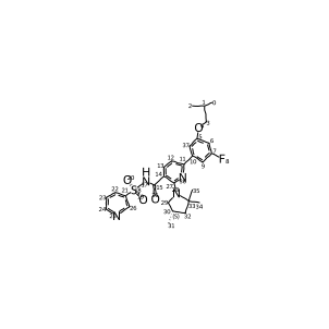 CC(C)COc1cc(F)cc(-c2ccc(C(=O)NS(=O)(=O)c3cccnc3)c(N3C[C@@H](C)CC3(C)C)n2)c1